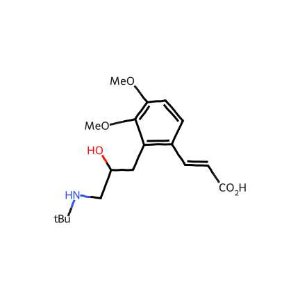 COc1ccc(/C=C/C(=O)O)c(CC(O)CNC(C)(C)C)c1OC